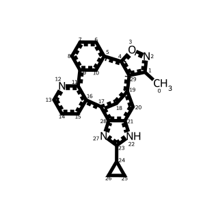 Cc1noc2c3cccc(c3)c3ncccc3c3cc(cc4[nH]c(C5CC5)nc43)c12